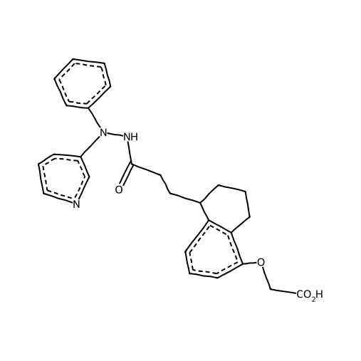 O=C(O)COc1cccc2c1CCCC2CCC(=O)NN(c1ccccc1)c1cccnc1